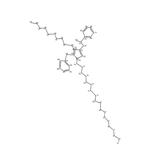 CCCCCCCCCCCCCCCCCCCn1cc(CC(C)c2ccccc2)[n+](CCCCCCCCCC)c1Cc1ccccc1